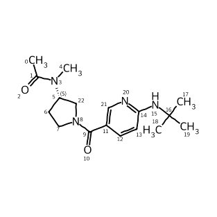 CC(=O)N(C)[C@H]1CCN(C(=O)c2ccc(NC(C)(C)C)nc2)C1